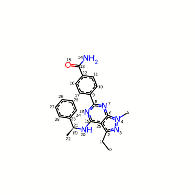 CCc1nn(C)c2nc(-c3ccc(C(N)=O)cc3)nc(N[C@@H](C)c3ccccc3)c12